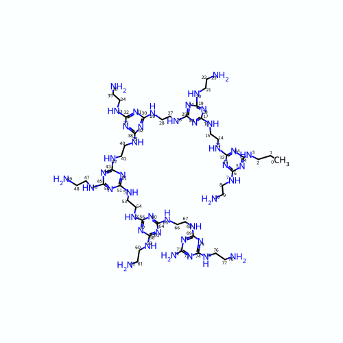 CCCNc1nc(NCCN)nc(NCCNc2nc(NCCN)nc(NCCNc3nc(NCCN)nc(NCCNc4nc(NCCN)nc(NCCNc5nc(NCCN)nc(NCCNc6nc(N)nc(NCCN)n6)n5)n4)n3)n2)n1